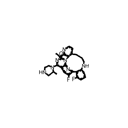 CC(C)c1nccc2c1-n1c(=O)nc(N3CCNCC3C)c3cc(F)c(nc31)-c1c(F)cccc1NCCC2